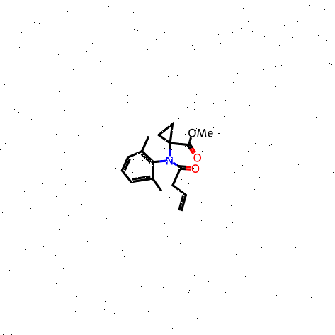 C=CCC(=O)N(c1c(C)cccc1C)C1(C(=O)OC)CC1